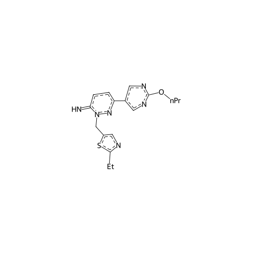 CCCOc1ncc(-c2ccc(=N)n(Cc3cnc(CC)s3)n2)cn1